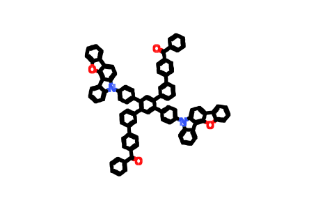 O=C(c1ccccc1)c1ccc(-c2cccc(-c3cc(-c4ccc(-n5c6ccccc6c6c7oc8ccccc8c7ccc65)cc4)c(-c4cccc(-c5ccc(C(=O)c6ccccc6)cc5)c4)cc3-c3ccc(-n4c5ccccc5c5c6oc7ccccc7c6ccc54)cc3)c2)cc1